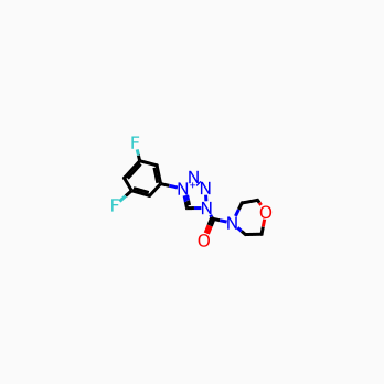 O=C(N1CCOCC1)n1c[n+](-c2cc(F)cc(F)c2)nn1